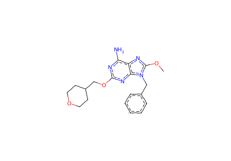 COc1nc2c(N)nc(OCC3CCOCC3)nc2n1Cc1cc[c]cc1